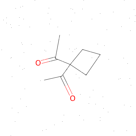 CC(=O)C1(C(C)=O)CCC1